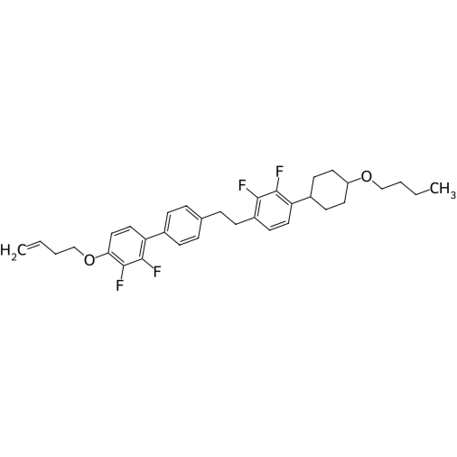 C=CCCOc1ccc(-c2ccc(CCc3ccc(C4CCC(OCCCC)CC4)c(F)c3F)cc2)c(F)c1F